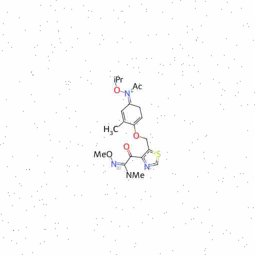 CN/C(=N/OC)C(=O)c1ncsc1COC1=CCC(=[N+](OC(C)C)C(C)=O)C=C1C